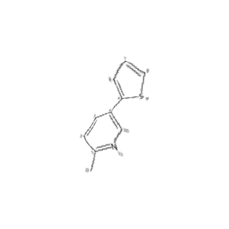 Cc1ccc(-c2cccs2)cn1